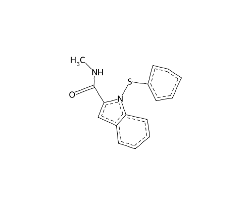 CNC(=O)c1cc2ccccc2n1Sc1ccccc1